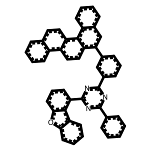 c1ccc(-c2nc(-c3cccc(-c4cc5ccccc5c5c4ccc4c6ccccc6ccc45)c3)nc(-c3cccc4oc5ccccc5c34)n2)cc1